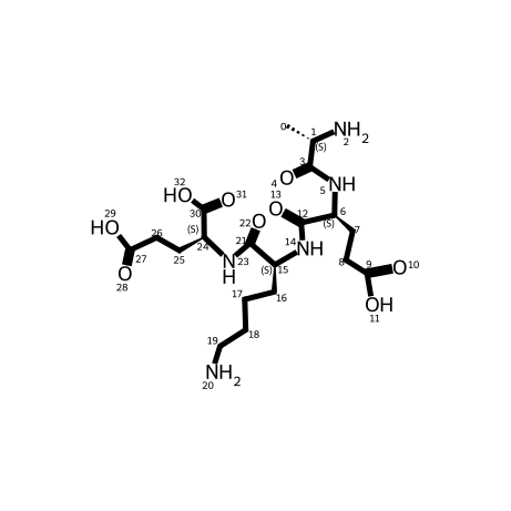 C[C@H](N)C(=O)N[C@@H](CCC(=O)O)C(=O)N[C@@H](CCCCN)C(=O)N[C@@H](CCC(=O)O)C(=O)O